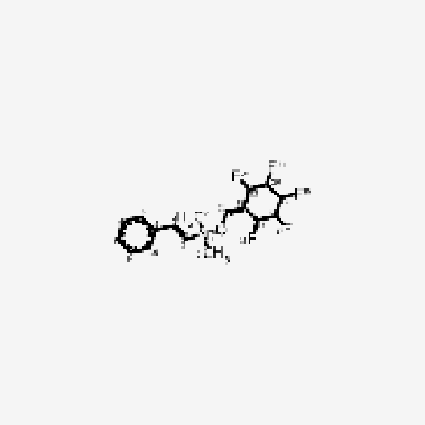 C[N+](C)(/C=C/c1ccccc1)OC=C1C(F)C(F)C(F)C(F)C1F